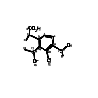 CC(C(=O)O)c1ccc([S+](C)[O-])c(Cl)c1[S+](C)[O-]